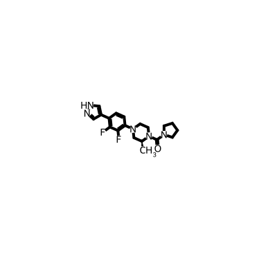 C[C@H]1CN(c2ccc(-c3cn[nH]c3)c(F)c2F)CCN1C(=O)N1CCCC1